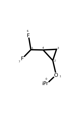 CC(C)OC1CC1C(F)F